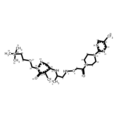 CC(CNOCC(=O)N1CCN(c2ncc(C(F)(F)F)cn2)CC1)Nc1cnn(COCC[Si](C)(C)C)c(=O)c1C(F)(F)F